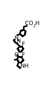 Cc1c(Oc2ccc(F)c(-c3ccn(Cc4cccc(CCC(=O)O)c4)n3)c2)c(F)cc2[nH]ccc12